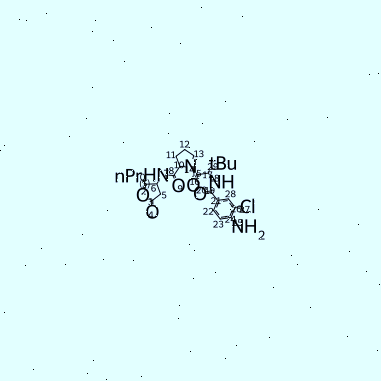 CCC[C@@H]1OC(=O)CC1NC(=O)C1CCCN1C(=O)C(NC(=O)c1ccc(N)c(Cl)c1)C(C)(C)C